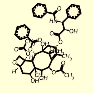 CC(=O)O[C@@H]1C2=C(C)[C@@H](OC(=O)[C@H](O)[C@@H](NC(=O)c3ccccc3)c3ccccc3)C[C@@](O)([C@@H](OC(=O)c3ccccc3)[C@@H]3[C@]4(OC(C)=O)CO[C@@H]4C[C@H](O)[C@@]3(C)C1O)C2(C)C